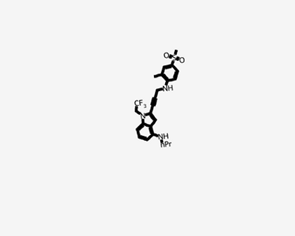 CCCNc1cccc2c1cc(C#CCNc1ccc(S(C)(=O)=O)cc1C)n2CC(F)(F)F